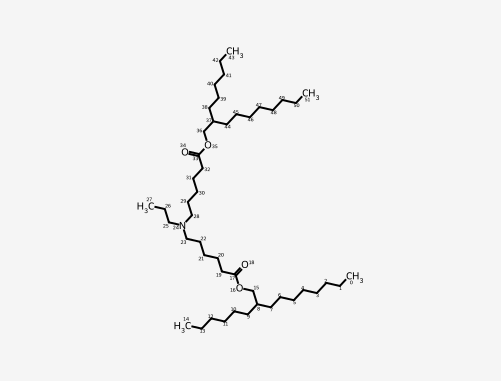 CCCCCCCCC(CCCCCC)COC(=O)CCCCCN(CCC)CCCCCC(=O)OCC(CCCCCC)CCCCCCCC